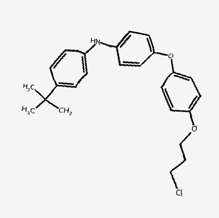 CC(C)(C)c1ccc(Nc2ccc(Oc3ccc(OCCCCl)cc3)cc2)cc1